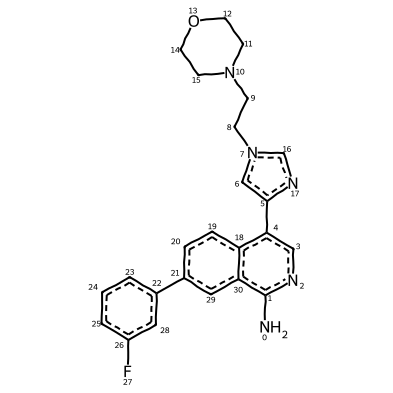 Nc1ncc(-c2cn(CCN3CCOCC3)cn2)c2ccc(-c3cccc(F)c3)cc12